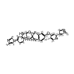 Cc1cn(-c2ccc3c(c2)NC(=O)C3NC(=O)Nc2ccc(Oc3ccnc(-c4cnn(C)c4)c3)cc2F)cn1